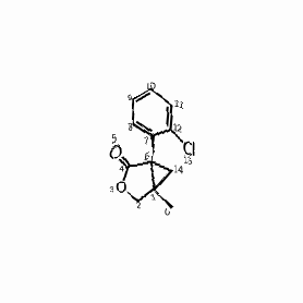 C[C@@]12COC(=O)[C@]1(c1ccccc1Cl)C2